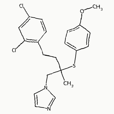 COc1ccc(SC(C)(CCc2ccc(Cl)cc2Cl)Cn2ccnc2)cc1